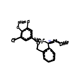 CCCCCCOc1c(Cl)cc(OCc2ccccc2/C(=N\OC)C(=O)O)cc1Cl